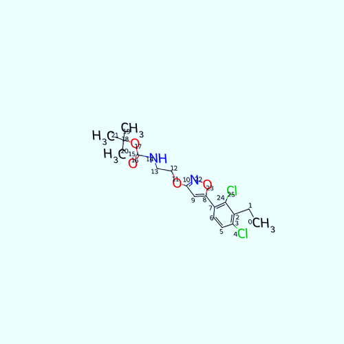 CCc1c(Cl)ccc(-c2cc(OCCNC(=O)OC(C)(C)C)no2)c1Cl